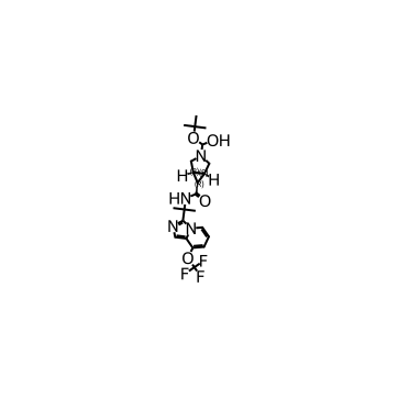 CC(C)(C)OC(O)N1C[C@@H]2[C@H](C1)[C@H]2C(=O)NC(C)(C)c1ncc2c(OC(F)(F)F)cccn12